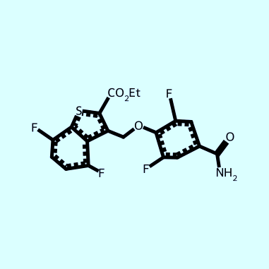 CCOC(=O)c1sc2c(F)ccc(F)c2c1COc1c(F)cc(C(N)=O)cc1F